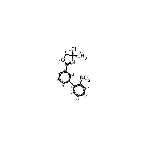 CC1(C)COC(c2cccc(-c3ccccc3[N+](=O)[O-])c2)=N1